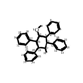 COC1C(c2ccccc2)C(c2ccccc2)C(C)C(c2ccccc2)C1c1ccccc1